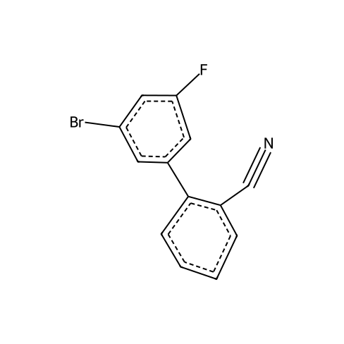 N#Cc1ccccc1-c1cc(F)cc(Br)c1